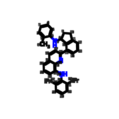 Cc1ccccc1NC1CCc2cccc(-c3ccc4cccc(Nc5c(C(C)C)cccc5C(C)C)c4n3)c21